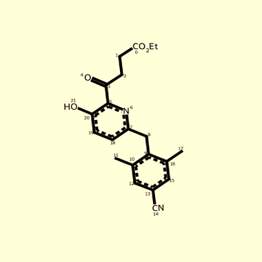 CCOC(=O)CCC(=O)c1nc(Cc2c(C)cc(C#N)cc2C)ccc1O